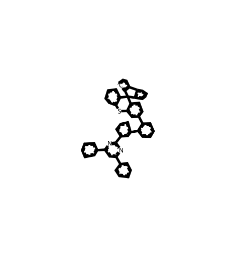 c1ccc(-c2cc(-c3ccccc3)nc(-c3cccc(-c4ccccc4-c4ccc5c(c4)Sc4ccccc4C54c5ccccc5-c5ccccc54)c3)n2)cc1